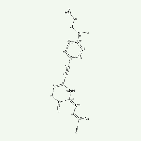 C=C1CC=C(C#Cc2ccc(N(C)CCO)cc2)N/C1=N/C=C(\C)F